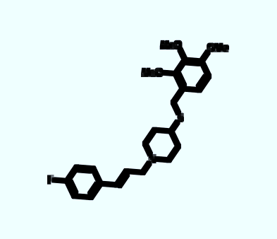 COc1ccc(CSC2CCN(C/C=C/c3ccc(F)cc3)CC2)c(OC)c1OC